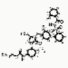 CCCCc1nn(-c2cc(NC(=O)CCOCC)ccc2C(F)(F)F)c(=O)n1Cc1ccc(-c2ccccc2S(=O)(=O)NC(=O)c2ccccc2F)cc1F